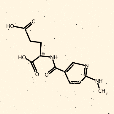 CNc1ccc(C(=O)N[C@H](CCC(=O)O)C(=O)O)cn1